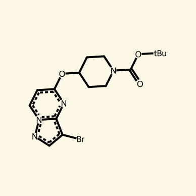 CC(C)(C)OC(=O)N1CCC(Oc2ccn3ncc(Br)c3n2)CC1